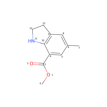 COC(=O)c1cc(C)cc2c1NCC2